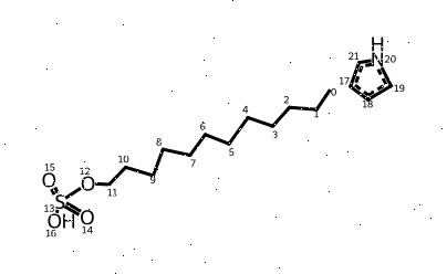 CCCCCCCCCCCCOS(=O)(=O)O.c1cc[nH]c1